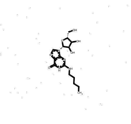 CCCCCNc1nc2c(ncn2[C@@H]2O[C@H](CO)C(O)C2O)c(=O)[nH]1